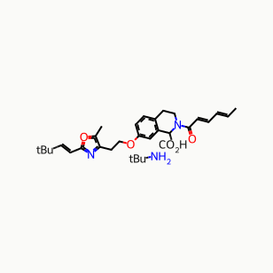 CC(C)(C)N.CC=CC=CC(=O)N1CCc2ccc(OCCc3nc(/C=C/C(C)(C)C)oc3C)cc2C1C(=O)O